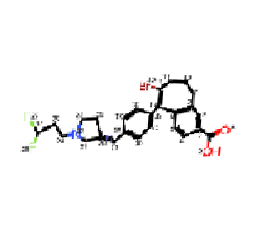 O=C(O)c1ccc2c(c1)CCCC(Br)=C2c1ccc(/C=C2\CCN(CCC(F)F)C2)cc1